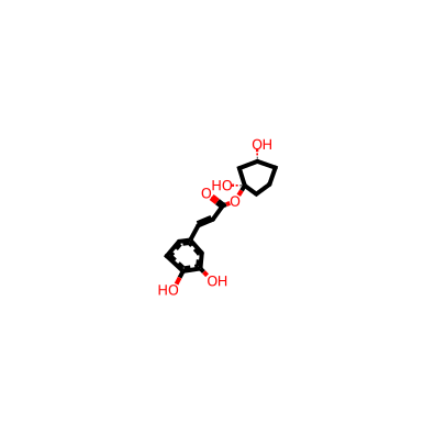 O=C(C=Cc1ccc(O)c(O)c1)O[C@]1(O)CCC[C@@H](O)C1